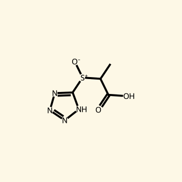 CC(C(=O)O)[S+]([O-])c1nnn[nH]1